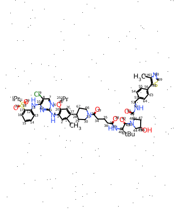 Cc1cc(Nc2ncc(Cl)c(Nc3ccccc3S(=O)(=O)C(C)C)n2)c(OC(C)C)cc1C1CCN(C(=O)CCCC(=O)N[C@@H](C(=O)N2C[C@H](O)C[C@H]2C(=O)NCc2ccc(-c3scnc3C)cc2)C(C)(C)C)CC1